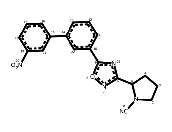 N#CN1CCCC1c1noc(-c2cccc(-c3cccc([N+](=O)[O-])c3)c2)n1